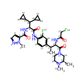 CCn1nccc1C(=O)N[C@H](C(=O)Nc1ccc([C@H](C)[C@@H](NC(=O)CF)C(=O)N2CCN(C)[C@H](C)C2)cc1F)C(C1CC1)C1CC1